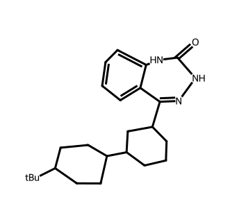 CC(C)(C)C1CCC(C2CCCC(C3=NNC(=O)Nc4ccccc43)C2)CC1